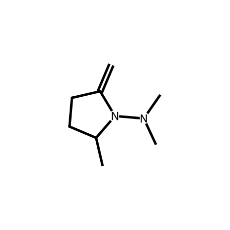 C=C1CCC(C)N1N(C)C